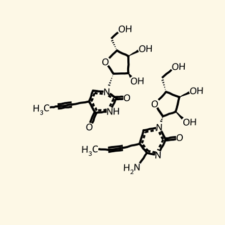 CC#Cc1cn([C@@H]2O[C@H](CO)[C@@H](O)[C@H]2O)c(=O)[nH]c1=O.CC#Cc1cn([C@@H]2O[C@H](CO)[C@@H](O)[C@H]2O)c(=O)nc1N